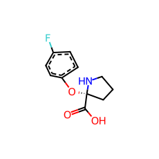 O=C(O)[C@]1(Oc2ccc(F)cc2)CCCN1